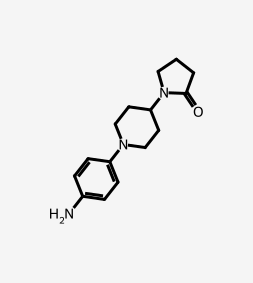 Nc1ccc(N2CCC(N3CCCC3=O)CC2)cc1